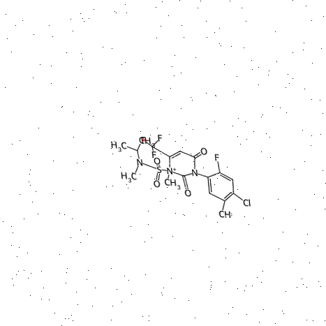 [CH]c1cc(N2C(=O)C=C(C(F)(F)F)[N+](C)(S(=O)(=O)N(C)C(C)C)C2=O)c(F)cc1Cl